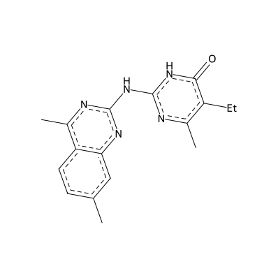 CCc1c(C)nc(Nc2nc(C)c3ccc(C)cc3n2)[nH]c1=O